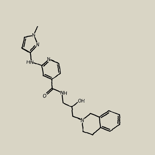 Cn1ccc(Nc2cc(C(=O)NCC(O)CN3CCc4ccccc4C3)ccn2)n1